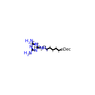 CCCCCCCCCCCCCCCC(=O)O.Nc1nc(N)nc(N)n1